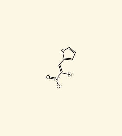 O=[N+]([O-])/C(Br)=C/c1cccs1